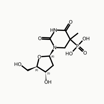 CC1(P(=O)(O)O)CN([C@H]2C[C@H](O)[C@@H](CO)O2)C(=O)NC1=O